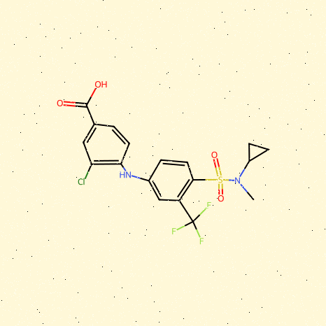 CN(C1CC1)S(=O)(=O)c1ccc(Nc2ccc(C(=O)O)cc2Cl)cc1C(F)(F)F